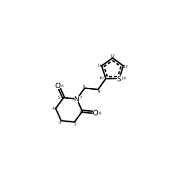 O=C1CCCC(=O)N1CCc1cccs1